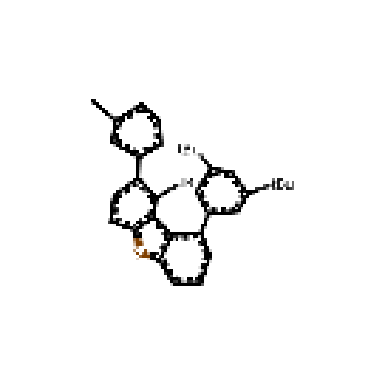 Cc1cccc(-c2ccc3sc4cccc(-c5cc(C(C)(C)C)cc(C(C)(C)C)c5)c4c3c2C(C)(C)C)c1